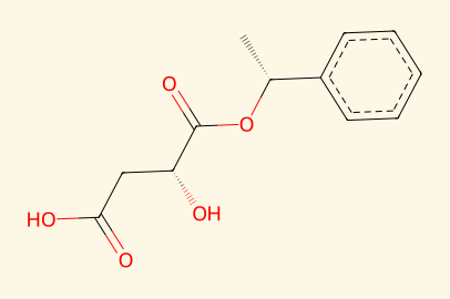 C[C@@H](OC(=O)[C@H](O)CC(=O)O)c1ccccc1